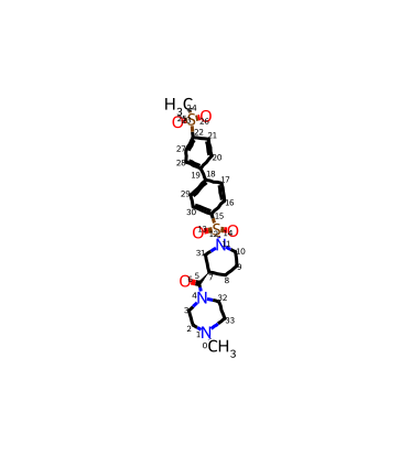 CN1CCN(C(=O)[C@@H]2CCCN(S(=O)(=O)c3ccc(-c4ccc(S(C)(=O)=O)cc4)cc3)C2)CC1